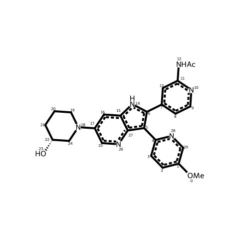 COc1ccc(-c2c(-c3ccnc(NC(C)=O)c3)[nH]c3cc(N4CCC[C@@H](O)C4)cnc23)nc1